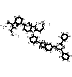 C=C/C=C\c1c(C)c(C)c(/C=C\C(=C)c2cccc3c(C=C)c(C=C)oc23)n1-c1cccc(-c2nc3ccc(-c4nc(-c5ccccc5)nc(-c5ccccc5)n4)cc3o2)c1